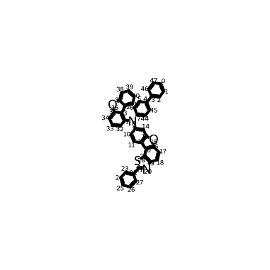 c1ccc(-c2ccc(N(c3ccc4c(c3)oc3ccc5nc(-c6ccccc6)sc5c34)c3cccc4oc5ccccc5c34)cc2)cc1